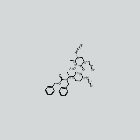 CC(=O)O[C@@H]1[C@@H](C)[C@H](N=[N+]=[N-])C[C@H](N=[N+]=[N-])[C@H]1O[C@H]1O[C@H]([C@H](C)N(Cc2ccccc2)C(=O)OCc2ccccc2)CC[C@H]1N=[N+]=[N-]